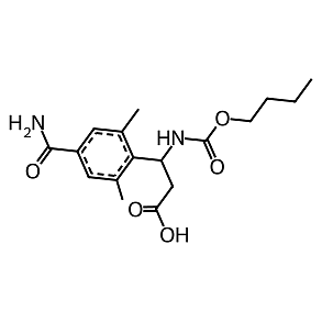 CCCCOC(=O)NC(CC(=O)O)c1c(C)cc(C(N)=O)cc1C